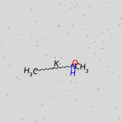 CCCCCCCCC=CCCCCCCCCNC(C)=O.[K]